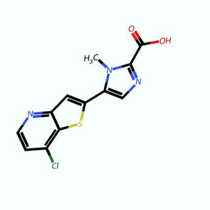 Cn1c(-c2cc3nccc(Cl)c3s2)cnc1C(=O)O